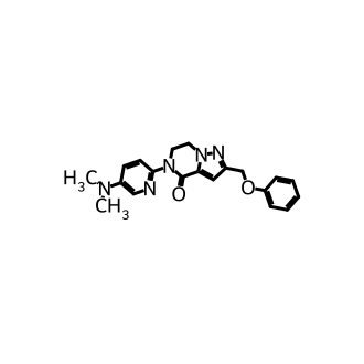 CN(C)c1ccc(N2CCn3nc(COc4ccccc4)cc3C2=O)nc1